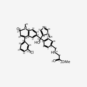 COC(=O)CNCc1ccc(C(O)(c2ccc3c(c2)c(-c2cccc(Cl)c2)cc(=O)n3C)c2cncn2C)cc1